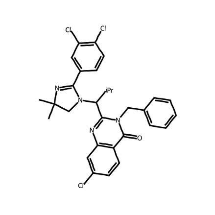 CC(C)C(c1nc2cc(Cl)ccc2c(=O)n1Cc1ccccc1)N1CC(C)(C)N=C1c1ccc(Cl)c(Cl)c1